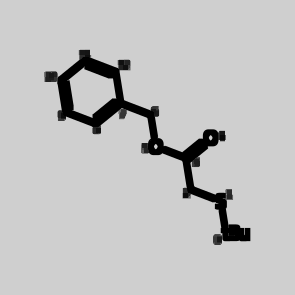 CC(C)(C)SCC(=O)OCc1ccccc1